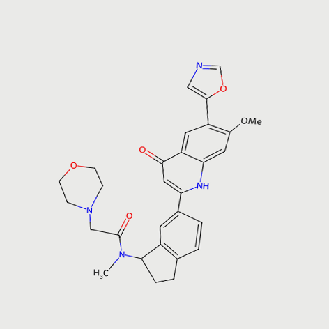 COc1cc2[nH]c(-c3ccc4c(c3)C(N(C)C(=O)CN3CCOCC3)CC4)cc(=O)c2cc1-c1cnco1